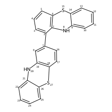 [c]1c(-c2cccc3c2Nc2ccccc2S3)ccc2c1Nc1ccccc1S2